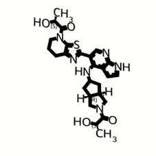 C[C@H](O)C(=O)N1C[C@H]2CC(Nc3c(-c4nc5c(s4)N(C(=O)[C@H](C)O)CCC5)cnc4[nH]ccc34)C[C@H]2C1